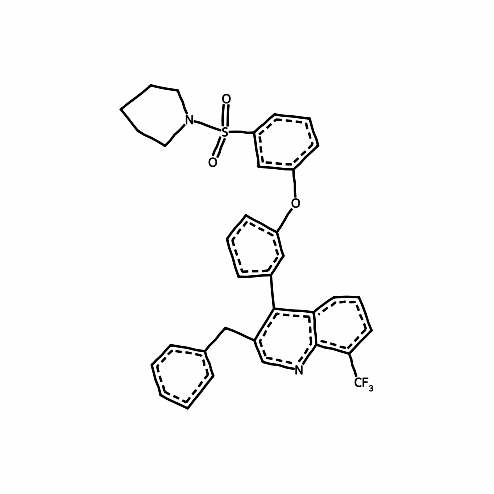 O=S(=O)(c1cccc(Oc2cccc(-c3c(Cc4ccccc4)cnc4c(C(F)(F)F)cccc34)c2)c1)N1CCCCC1